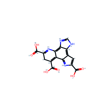 O=C(O)C1=Cc2c(c3c(c4nc[nH]c24)N=C(C(=O)O)CC=3C(=O)O)=N1